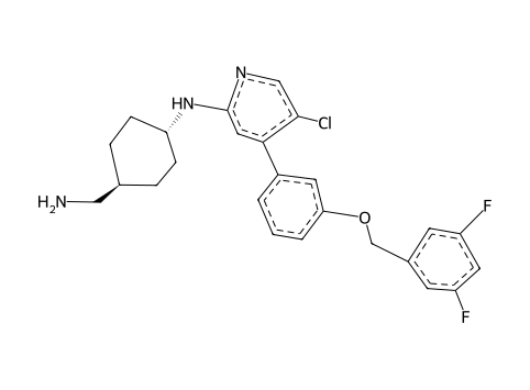 NC[C@H]1CC[C@H](Nc2cc(-c3cccc(OCc4cc(F)cc(F)c4)c3)c(Cl)cn2)CC1